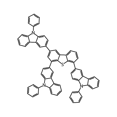 c1ccc(-n2c3ccccc3c3cc(-c4cc(-c5ccc6c(c5)c5ccccc5n6-c5ccccc5)c5sc6c(-c7ccc8c(c7)c7ccccc7n8-c7ccccc7)cccc6c5c4)ccc32)cc1